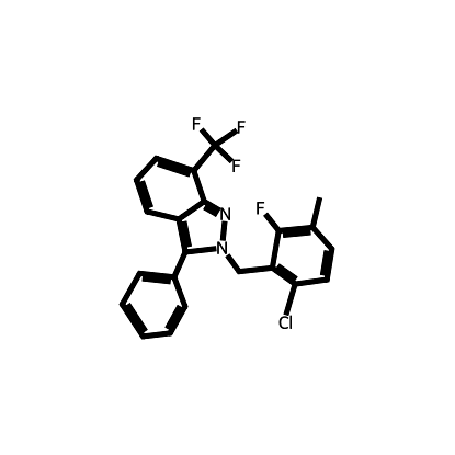 Cc1ccc(Cl)c(Cn2nc3c(C(F)(F)F)cccc3c2-c2ccccc2)c1F